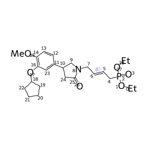 CCOP(=O)(C/C=C/CN1CC(c2ccc(OC)c(OC3CCCC3)c2)CC1=O)OCC